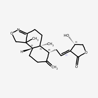 C=C1CC[C@@H]2C3(C)CON=C3CC[C@@]2(C)[C@@H]1C/C=C1/C(=O)OC[C@H]1O